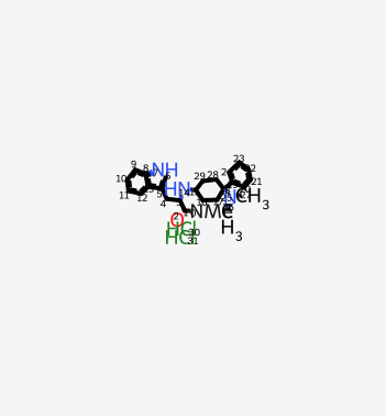 CNC(=O)C(Cc1c[nH]c2ccccc12)NC1CCC(c2ccccc2)(N(C)C)CC1.Cl.Cl